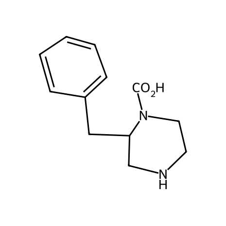 O=C(O)N1CCNCC1Cc1ccccc1